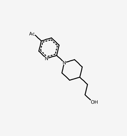 CC(=O)c1ccc(N2CCC(CCO)CC2)nc1